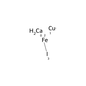 [CaH2].[Cu].[Fe][I]